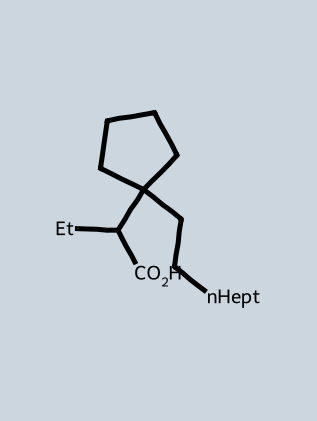 CCCCCCCCCC1(C(CC)C(=O)O)CCCC1